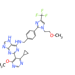 COCCn1cc(C(F)(F)F)nc1-c1ccc(CNc2nc(-c3c(OC)ncnc3C3CC3)nc3nc[nH]c23)cc1